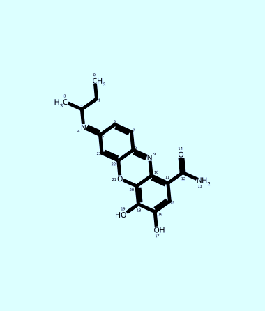 CCC(C)/N=c1\ccc2nc3c(C(N)=O)cc(O)c(O)c3oc-2c1